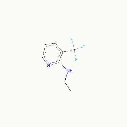 CCNc1nc[c]cc1C(F)(F)F